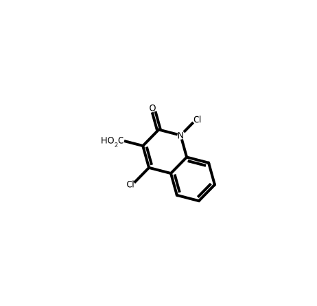 O=C(O)c1c(Cl)c2ccccc2n(Cl)c1=O